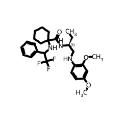 CC[C@@H](CNc1ccc(OC)cc1OC)NC(=O)C1(NC(c2ccccc2)C(F)(F)F)CCCCC1